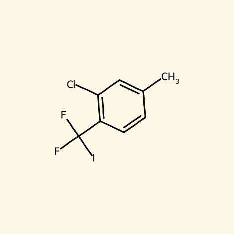 Cc1ccc(C(F)(F)I)c(Cl)c1